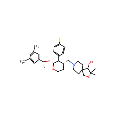 C[C@@H](O[C@H]1OCC[C@@H](CN2CCC3(CC2)COC(C)(C)C3O)[C@@H]1c1ccc(F)cc1)c1cc(C(F)(F)F)cc(C(F)(F)F)c1